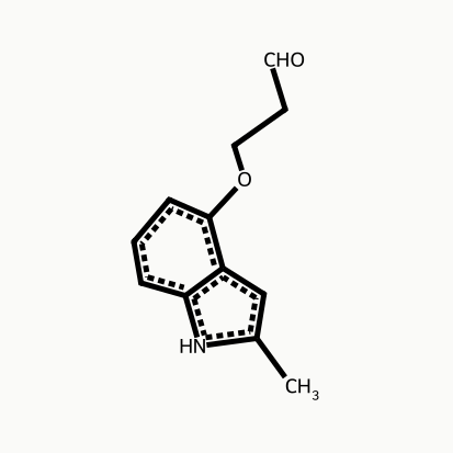 Cc1cc2c(OCCC=O)cccc2[nH]1